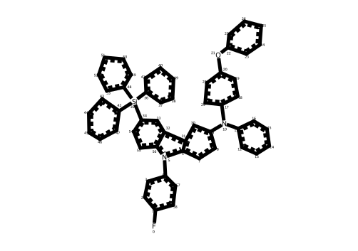 Fc1ccc(-n2c3ccc(N(c4ccccc4)c4ccc(Oc5ccccc5)cc4)cc3c3cc([Si](c4ccccc4)(c4ccccc4)c4ccccc4)ccc32)cc1